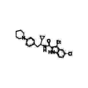 CCc1c(C(=O)NC(Cc2ccc(N3CCCCC3)cc2)C2CC2)[nH]c2ccc(Cl)cc12